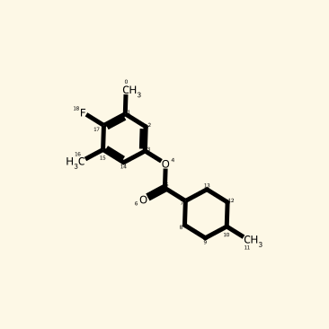 Cc1cc(OC(=O)C2CCC(C)CC2)cc(C)c1F